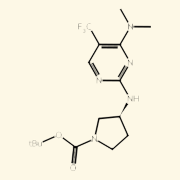 CN(C)c1nc(N[C@H]2CCN(C(=O)OC(C)(C)C)C2)ncc1C(F)(F)F